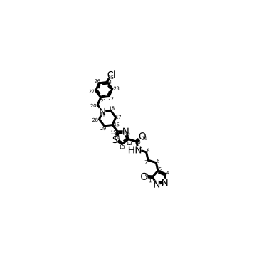 O=C1N=NC=C1CCCNC(=O)c1csc(C2CCN(Cc3ccc(Cl)cc3)CC2)n1